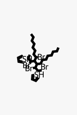 CCCCCCCC(Br)C(C(Br)C(C)[SH]1C=CC=C1)C(C(Br)CCCCCCC)C(Br)C(C)[SH]1C=CC=C1